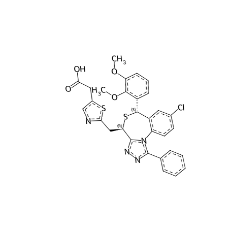 COc1cccc([C@H]2S[C@H](Cc3ncc(CC(=O)O)s3)c3nnc(-c4ccccc4)n3-c3ccc(Cl)cc32)c1OC